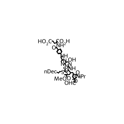 CCCCCCCCCCCCSC(=S)SC(C)(CC(CC(CC(C)(C)OC=O)C(=O)NC(C)C)C(=O)NC1=NC(O)C2N=C(CNc3ccc(C(=O)NC(CCC(=O)O)C(=O)O)cc3)C=NC2=N1)C(=O)OC